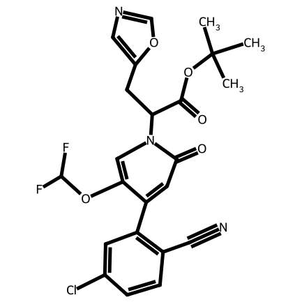 CC(C)(C)OC(=O)C(Cc1cnco1)n1cc(OC(F)F)c(-c2cc(Cl)ccc2C#N)cc1=O